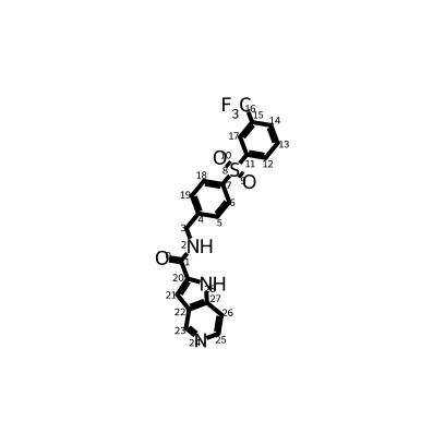 O=C(NCc1ccc(S(=O)(=O)c2cccc(C(F)(F)F)c2)cc1)c1cc2cnccc2[nH]1